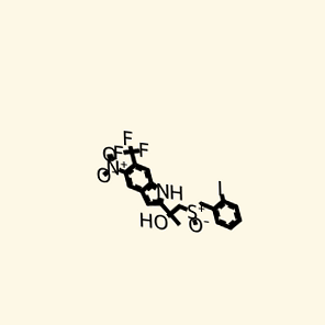 CC(O)(C[S+]([O-])Cc1ccccc1I)c1cc2cc([N+](=O)[O-])c(C(F)(F)F)cc2[nH]1